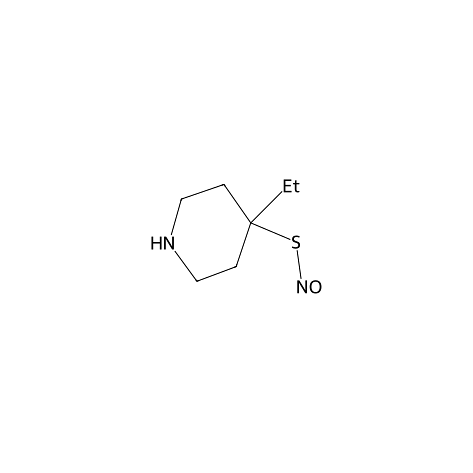 [CH2]CC1(SN=O)CCNCC1